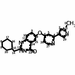 Cn1cc(-c2cc(Oc3ccc4nc(CC5CCCCC5)[nH]c(=O)c4c3)ccn2)cn1